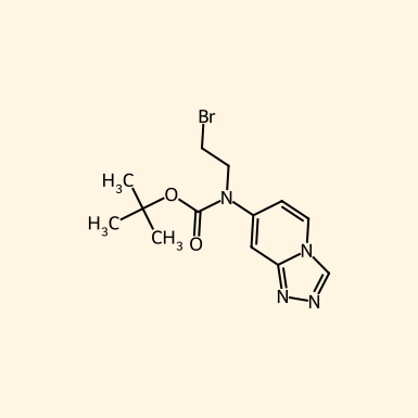 CC(C)(C)OC(=O)N(CCBr)c1ccn2cnnc2c1